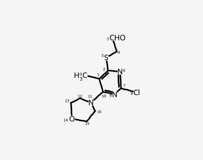 Cc1c(SCC=O)nc(Cl)nc1N1CCOCC1